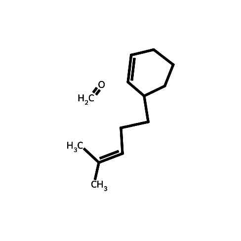 C=O.CC(C)=CCCC1C=CCCC1